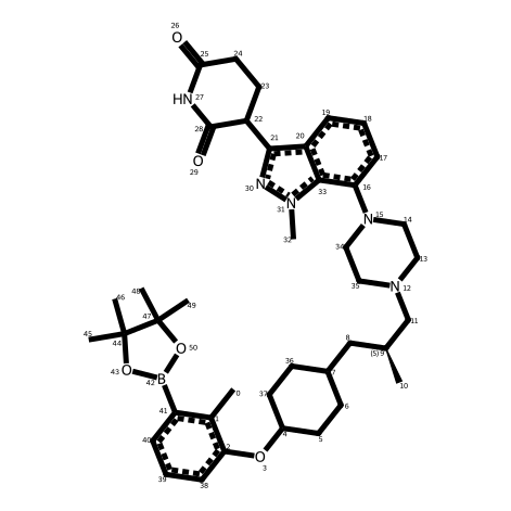 Cc1c(OC2CCC(C[C@H](C)CN3CCN(c4cccc5c(C6CCC(=O)NC6=O)nn(C)c45)CC3)CC2)cccc1B1OC(C)(C)C(C)(C)O1